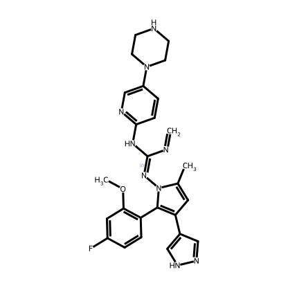 C=N/C(=N\n1c(C)cc(-c2cn[nH]c2)c1-c1ccc(F)cc1OC)Nc1ccc(N2CCNCC2)cn1